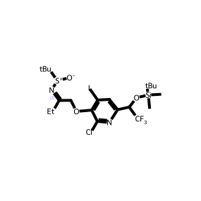 CC/C(COc1c(I)cc(C(O[Si](C)(C)C(C)(C)C)C(F)(F)F)nc1Cl)=N/[S+]([O-])C(C)(C)C